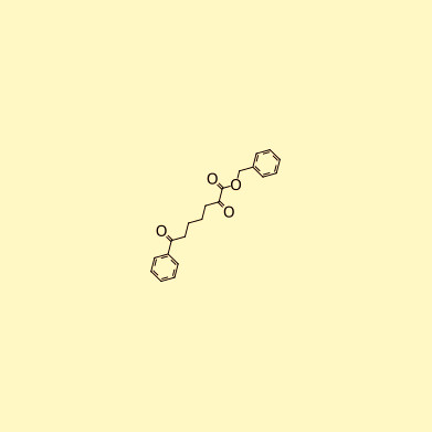 O=C(CCCCC(=O)c1ccccc1)C(=O)OCc1ccccc1